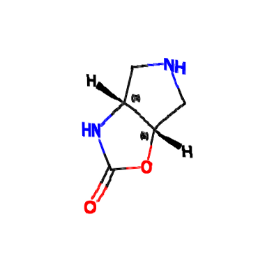 O=C1N[C@@H]2CNC[C@@H]2O1